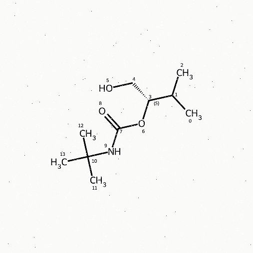 CC(C)[C@@H](CO)OC(=O)NC(C)(C)C